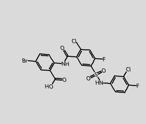 O=C(Nc1ccc(Br)cc1C(=O)O)c1cc(S(=O)(=O)Nc2ccc(F)c(Cl)c2)c(F)cc1Cl